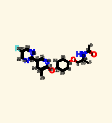 CC(=O)N[C@@H](C)CO[C@H]1CC[C@H](Oc2ncc(-c3ncc(F)cn3)cc2C)CC1